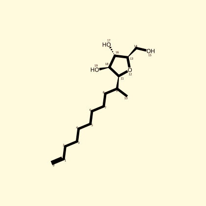 C=CCCCCCCCC(C)[C@@H]1O[C@H](CO)[C@@H](O)[C@@H]1O